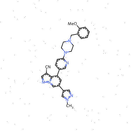 COc1ccccc1CN1CCN(c2ccc(-c3cc(-c4cnn(C)c4)cn4ncc(C#N)c34)cn2)CC1